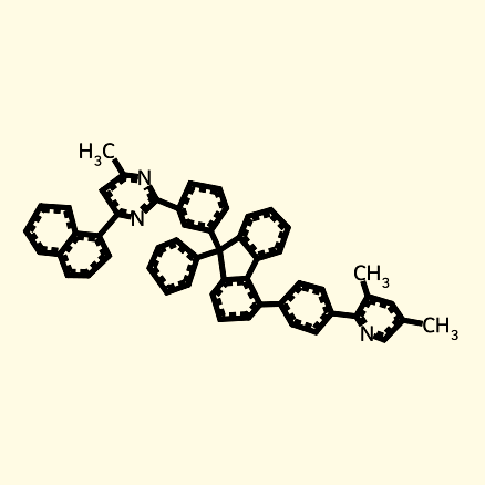 Cc1cnc(-c2ccc(-c3cccc4c3-c3ccccc3C4(c3ccccc3)c3cccc(-c4nc(C)cc(-c5cccc6ccccc56)n4)c3)cc2)c(C)c1